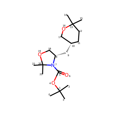 CC(C)(C)OC(=O)N1[C@@H](C[C@H]2CCC(C)(C)OC2)COC1(C)C